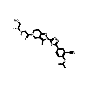 Cc1c2c(nn1-c1nnc(-c3ccc(OC(C)C)c(C#N)c3)s1)CCN(C(=O)CN[C@H](C)CO)C2